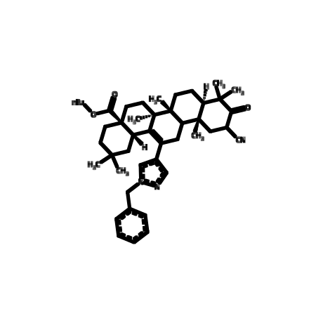 CCCCOC(=O)[C@]12CCC(C)(C)C[C@H]1C1=C(c3cnn(Cc4ccccc4)c3)CC3[C@@]4(C)CC(C#N)C(=O)C(C)(C)[C@@H]4CC[C@@]3(C)[C@]1(C)CC2